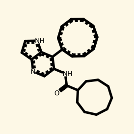 O=C(Nc1cnc2cc[nH]c2c1-c1ccccccccc1)C1CCCCCCCC1